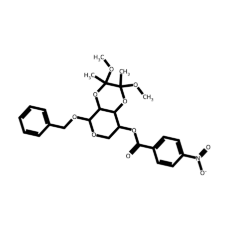 COC1(C)OC2C(OC(=O)c3ccc([N+](=O)[O-])cc3)COC(OCc3ccccc3)C2OC1(C)OC